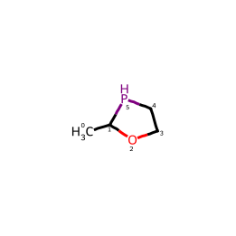 CC1OCCP1